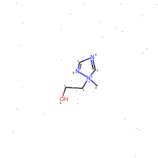 C[N+]1(CCO)C=NC=N1